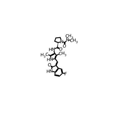 Cc1[nH]c(/C=C2\C(=O)Nc3ccc(F)cc32)c(C)c1NC(=O)[C@H]1CCCN1C(=O)N(C)C